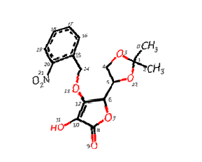 CC1(C)OCC(C2OC(=O)C(O)=C2OCc2ccccc2[N+](=O)[O-])O1